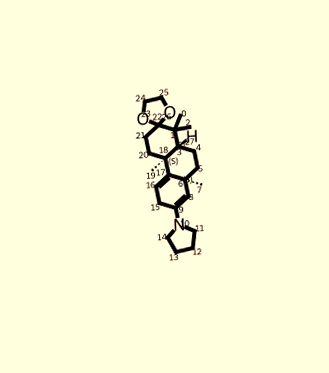 CC1(C)[C@@H]2CC[C@@]3(C)C=C(N4CCCC4)CC=C3[C@@]2(C)CCC12OCCO2